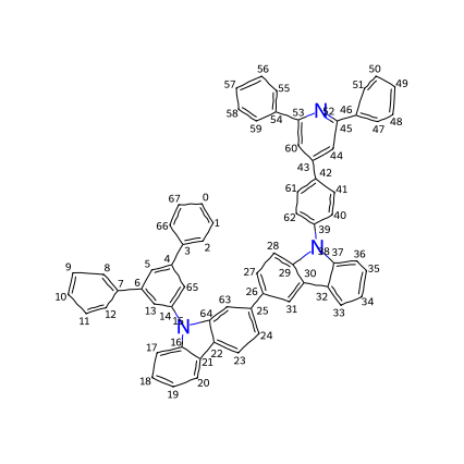 c1ccc(-c2cc(-c3ccccc3)cc(-n3c4ccccc4c4ccc(-c5ccc6c(c5)c5ccccc5n6-c5ccc(-c6cc(-c7ccccc7)nc(-c7ccccc7)c6)cc5)cc43)c2)cc1